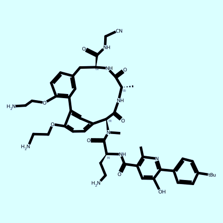 Cc1nc(-c2ccc(C(C)(C)C)cc2)c(O)cc1C(=O)N[C@@H](CCN)C(=O)N(C)[C@@H]1C(=O)N[C@@H](C)C(=O)N[C@H](C(=O)NCC#N)Cc2ccc(OCCN)c(c2)-c2cc1ccc2OCCN